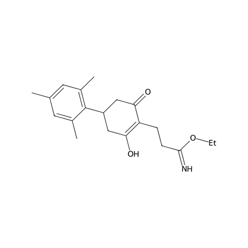 CCOC(=N)CCC1=C(O)CC(c2c(C)cc(C)cc2C)CC1=O